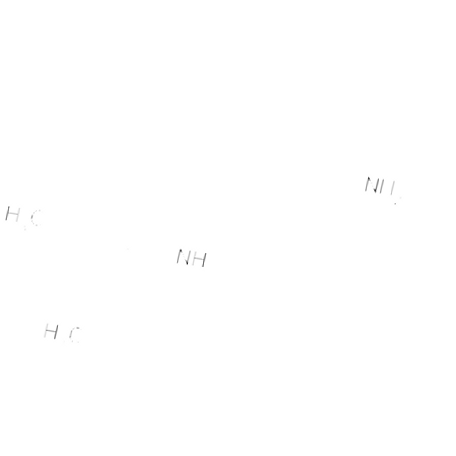 CCC1(CC)CCc2ccc(N)cc2N1